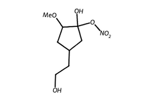 COC1CC(CCO)CC1(O)O[N+](=O)[O-]